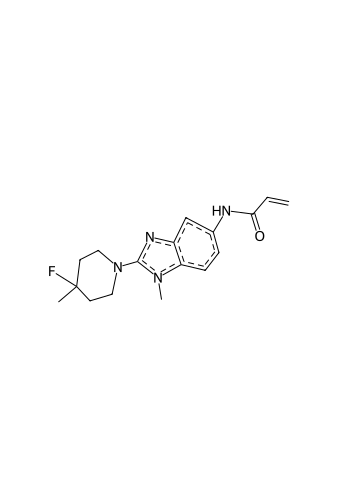 C=CC(=O)Nc1ccc2c(c1)nc(N1CCC(C)(F)CC1)n2C